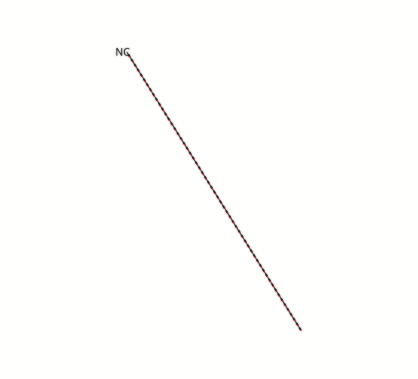 C#CC#CC#CC#CC#CC#CC#CC#CC#CC#CC#CC#CC#CC#CC#CC#CC#CC#CC#CC#CC#CC#CC#CC#CC#CC#CC#CC#CC#CC#CC#CC#CC#CC#CC#CC#CC#CC#CC#CC#CC#CC#CC#CC#CC#CC#CC#CC#CC#CC#CC#CC#CC#CC#CC#CC#CC#CC#N